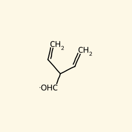 C=CC([C]=O)C=C